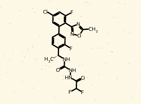 Cc1nc(-c2c(F)cc(Cl)cc2-c2ccc([C@@H](C)NC(=O)NNC(=O)C(F)F)c(F)c2)no1